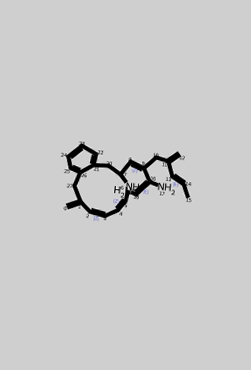 C=C1/C=C\C=C/NC(/C=C(CC(=C)/C=C/C)\C(N)=C/N)Cc2ccccc2C1